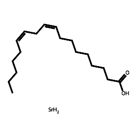 CCCCC/C=C\C/C=C\CCCCCCCC(=O)O.[SrH2]